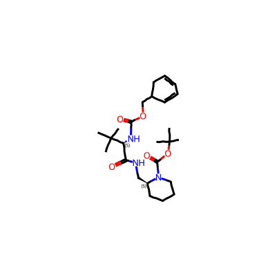 CC(C)(C)OC(=O)N1CCCC[C@H]1CNC(=O)[C@@H](NC(=O)OCC1C=CC=CC1)C(C)(C)C